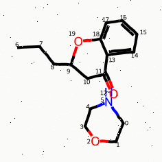 C1COCCN1.CCCC1CC(=O)c2ccccc2O1